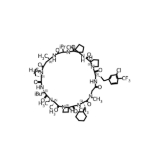 CC[C@H](C)[C@@H]1NC(=O)[C@H](CC(C)C)N(C)C(=O)C[C@@H](C)NC(=O)C(C(C)C)N(C)C(=O)C2(CCCC2)NC(=O)[C@@H]2CCCN2C(=O)[C@H](CCc2ccc(C(F)(F)F)c(Cl)c2)NC(=O)CN(C)C(=O)[C@H](CC2CCCCC2)N(C)C(=O)[C@@H]2CCN2C(=O)[C@H](C)N(C)C1=O